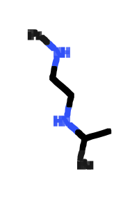 CCC(C)C(C)NCCNC(C)C